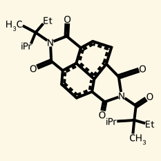 CCC(C)(C(=O)N1C(=O)c2ccc3c4c(ccc(c24)C1=O)C(=O)N(C(C)(CC)C(C)C)C3=O)C(C)C